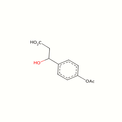 CC(=O)Oc1ccc(C(O)CC(=O)O)cc1